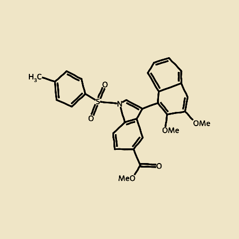 COC(=O)c1ccc2c(c1)c(-c1c(OC)c(OC)cc3ccccc13)cn2S(=O)(=O)c1ccc(C)cc1